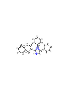 c1ccc(-c2cnc(-c3ccc4ccccc4c3)n2-c2ccccc2)cc1